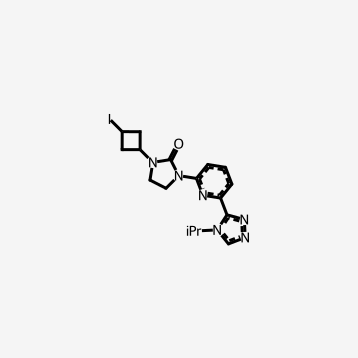 CC(C)n1cnnc1-c1cccc(N2CCN(C3CC(I)C3)C2=O)n1